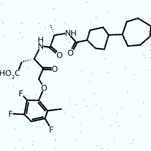 Cc1c(F)cc(F)c(F)c1OCC(=O)[C@H](CC(=O)O)NC(=O)[C@H](C)NC(=O)C1CCC(C2CCCCCC2)CC1